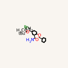 CC(C)(C)[Si](C)(C)OC(CBr)c1ccc(OCc2ccccc2)c(C(N)=O)c1